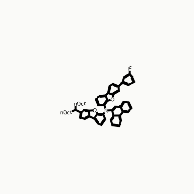 CCCCCCCCC(CCCCCCCC)c1ccc2c(c1)oc1c(N(c3cc4ccccc4c4ccccc34)c3cccc4c3oc3cc(-c5cccc(F)c5)ccc34)cccc12